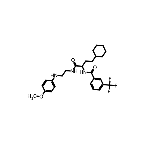 COc1ccc(NCCNC(=O)C(CCC2CCCCC2)NC(=O)c2cccc(C(F)(F)F)c2)cc1